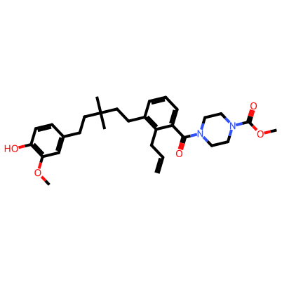 C=CCc1c(CCC(C)(C)CCc2ccc(O)c(OC)c2)cccc1C(=O)N1CCN(C(=O)OC)CC1